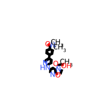 CC(O)C(=O)N1CCOc2ncc(Nc3ccc(-c4ccc(C(=O)N(C)C)cc4)cn3)cc21